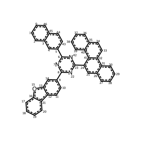 c1ccc2cc(-c3nc(-c4ccc5c(c4)oc4ccccc45)nc(-c4cc5ccccc5c5ccc6ccccc6c45)n3)ccc2c1